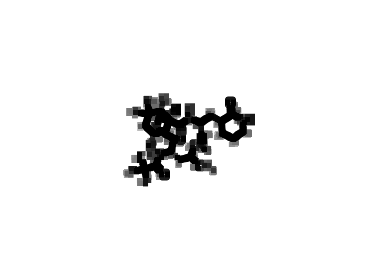 CC(C)C[C@H](NC(=O)C(F)(F)F)C(=O)N1[C@H]2CC[C@@H]([C@H]1C(=O)N[C@H](C#N)C[C@@H]1CCCNC1=O)C(F)(F)C2